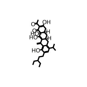 C=C1C2=C(O)[C@@]3(O)C(=O)C(C(C)=O)=C(O)C[C@H]3C[C@H]2Cc2c(C(C)C)cc(CCC(CC)CC)c(O)c21